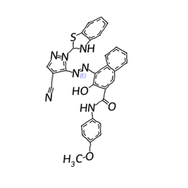 COc1ccc(NC(=O)c2cc3ccccc3c(/N=N/c3c(C#N)cnn3C3Nc4ccccc4S3)c2O)cc1